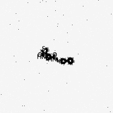 O=C(NCCN1CC=C(c2ccccc2)CC1)c1ccc2[nH]c(=O)c3c(c2c1)CCSC3